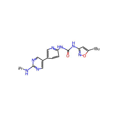 CC(C)Nc1ncc(-c2ccc(NC(=O)Nc3cc(C(C)(C)C)on3)nc2)cn1